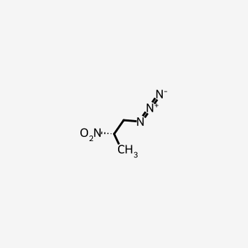 C[C@@H](CN=[N+]=[N-])[N+](=O)[O-]